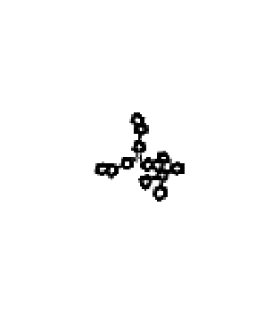 C1=CC(c2cc(-c3ccccc3)c3c4ccccc4c4cc(N(c5ccc(-c6ccc7ccccc7c6)cc5)c5ccc(-c6ccc7ccccc7c6)cc5)ccc4c3c2-c2ccccc2)=CCC1